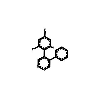 Fc1cc(F)c(-c2cnncc2-c2ccccc2)c(F)c1